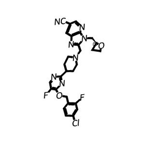 N#Cc1cnc2c(c1)nc(CN1CCC(c3ncc(F)c(OCc4ccc(Cl)cc4F)n3)CC1)n2C[C@@H]1CCO1